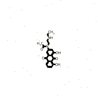 CCNCCN(C(C)=O)c1cc(O)c2c(c1)C(=O)c1cccc(O)c1C2=O